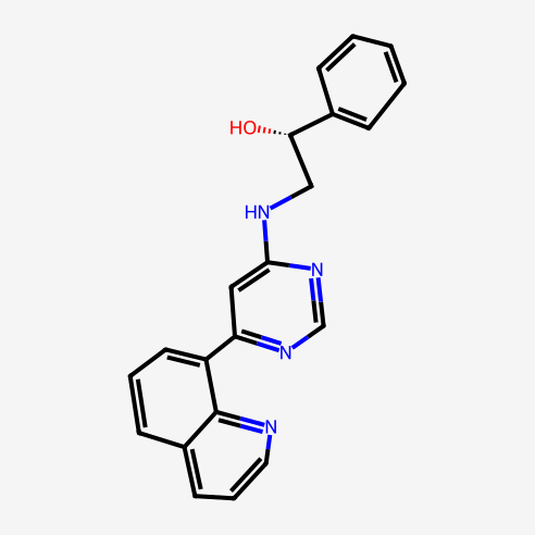 O[C@@H](CNc1cc(-c2cccc3cccnc23)ncn1)c1ccccc1